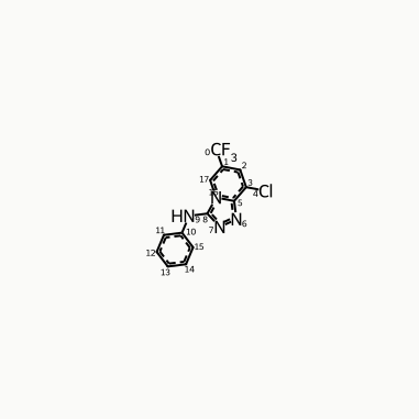 FC(F)(F)c1cc(Cl)c2nnc(Nc3ccccc3)n2c1